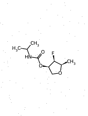 CC(C)NC(=O)O[C@@H]1CO[C@H](C)[C@@H]1F